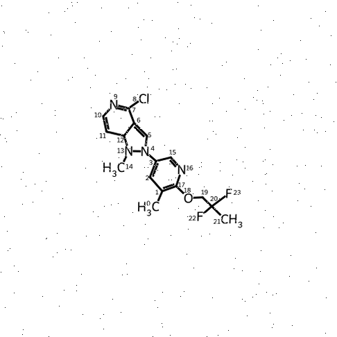 Cc1cc(N2C=C3C(Cl)=NC=CC3N2C)cnc1OCC(C)(F)F